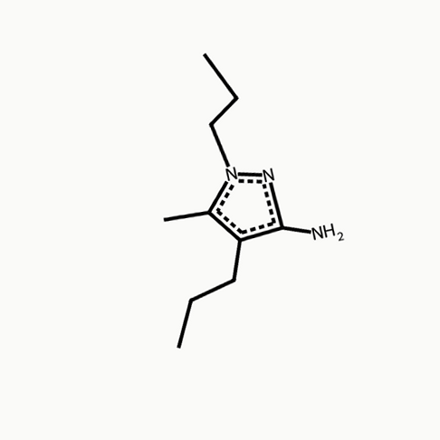 CCCc1c(N)nn(CCC)c1C